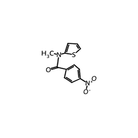 CN(C(=O)c1ccc([N+](=O)[O-])cc1)c1cccs1